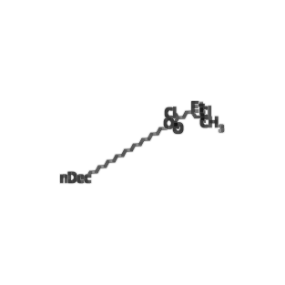 CCCCCCCCCCCCCCCCCCCCCCCCCCCCOC(=O)C(Cl)CCC(CC)CC(C)Cl